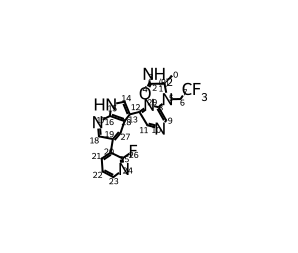 C[C@H](C(N)=O)N(CC(F)(F)F)c1cncc(-c2c[nH]c3ncc(-c4cccnc4F)cc23)n1